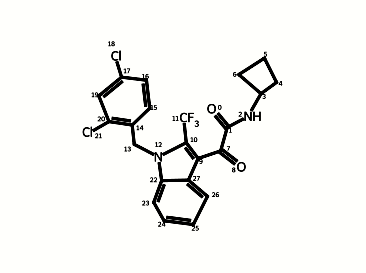 O=C(NC1CCC1)C(=O)c1c(C(F)(F)F)n(Cc2ccc(Cl)cc2Cl)c2ccccc12